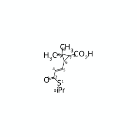 CC(C)SC(=O)C=CC1C(C(=O)O)C1(C)C